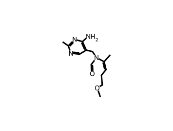 COCC/C=C(/C)N(C=O)Cc1cnc(C)nc1N